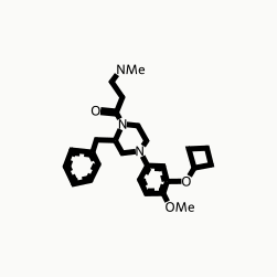 CNCCC(=O)N1CCN(c2ccc(OC)c(OC3CCC3)c2)CC1Cc1ccccc1